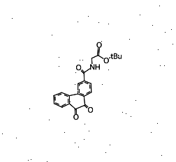 CC(C)(C)OC(=O)CNC(=O)c1ccc2c(c1)-c1ccccc1C(=O)C2=O